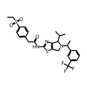 CCS(=O)(=O)c1ccc(CC(=O)Nc2nc3c(s2)CN(C(C)c2cccc(C(F)(F)F)c2)C3C(C)C)cc1